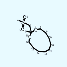 CC1(CS(C)(=O)=O)CCCCCCCCCCC1